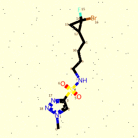 Cn1cc(S(=O)(=O)NCCCCC2CC2(F)Br)nn1